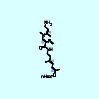 C=N/C(=C\N(C)/C(C)=C\CN)C(=O)NCC/C(C)=C/C=C(\C)OCCCCCC